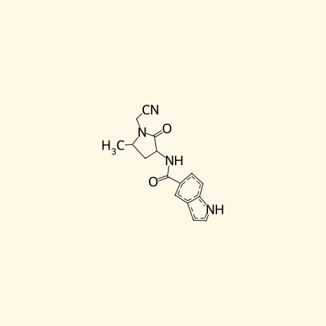 CC1CC(NC(=O)c2ccc3[nH]ccc3c2)C(=O)N1CC#N